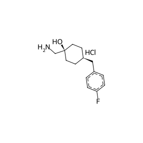 Cl.NC[C@]1(O)CC[C@@H](Cc2ccc(F)cc2)CC1